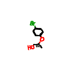 C[C@@H](CO)Oc1ccc(Br)cc1